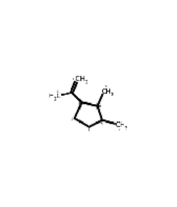 C=C(C)C1CC[C](C)C1C